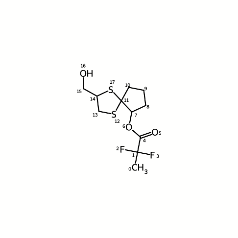 CC(F)(F)C(=O)OC1CCCC12SCC(CO)S2